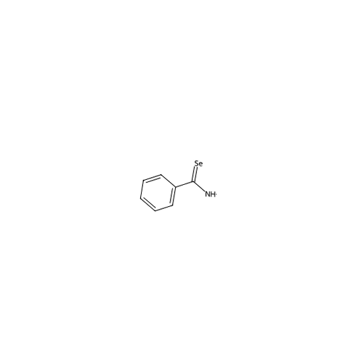 [NH]C(=[Se])c1ccccc1